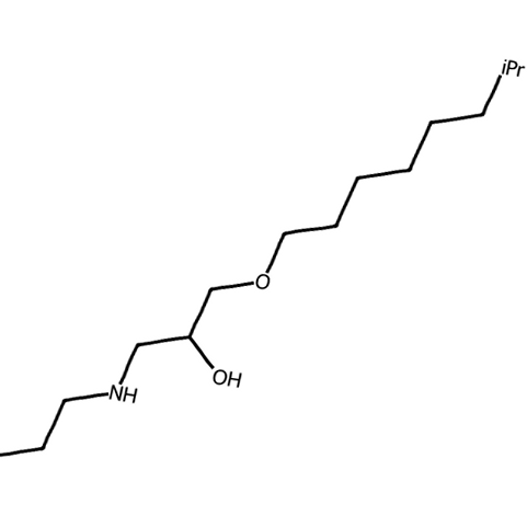 CC(C)CCCCCCOCC(O)CNCCN